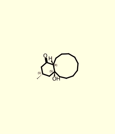 C[C@@H]1CC(=O)[C@@H]2CCCCCCCCC[C@]2(O)C1